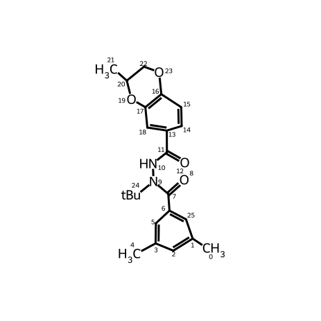 Cc1cc(C)cc(C(=O)N(NC(=O)c2ccc3c(c2)OC(C)CO3)C(C)(C)C)c1